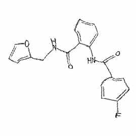 O=C(Nc1ccccc1C(=O)NCc1ccco1)c1ccc(F)cc1